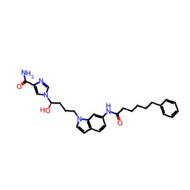 NC(=O)c1cn([C@H](O)CCCn2ccc3ccc(NC(=O)CCCCCc4ccccc4)cc32)cn1